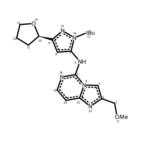 COCc1cn2c(Nc3cc([C@H]4C[CH]CO4)nn3C(C)(C)C)nccc2n1